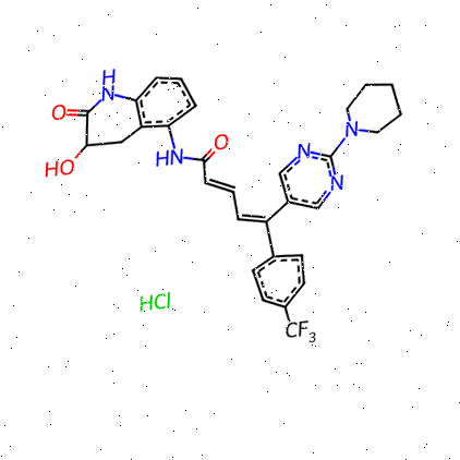 Cl.O=C(/C=C/C=C(/c1ccc(C(F)(F)F)cc1)c1cnc(N2CCCCC2)nc1)Nc1cccc2c1CC(O)C(=O)N2